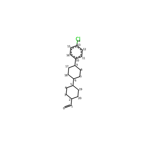 C=CC1CCC(C2CCC(c3ccc(Cl)cc3)CC2)CC1